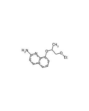 CCOCC(C)Oc1cccc2ccc(N)nc12